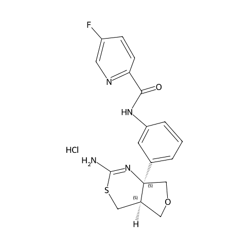 Cl.NC1=N[C@@]2(c3cccc(NC(=O)c4ccc(F)cn4)c3)COC[C@H]2CS1